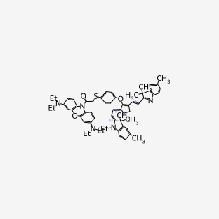 CCN(CC)c1ccc2c(c1)Oc1cc(N(CC)CC)ccc1N2C(=O)CSc1ccc(OC2=C(/C=C/C3=Nc4ccc(C)cc4C3(C)C)CC/C2=C\C=C2\N(CC)c3ccc(C)cc3C2(C)C)cc1